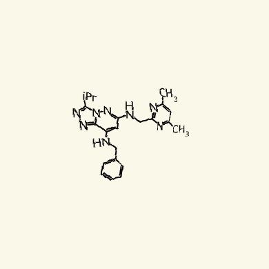 Cc1cc(C)nc(CNc2cc(NCc3ccccc3)c3nnc(C(C)C)n3n2)n1